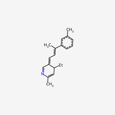 CCC1C=C(C)N=C/C1=C/C=C(\C)c1cccc(C)c1